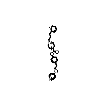 O=C(Oc1ccc(CCOc2ccncc2)cc1)N1CCN(CCCc2ccccn2)CC1